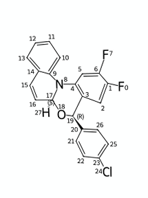 Fc1cc2c(cc1F)N1c3ccccc3C=C[C@@H]1O[C@@H]2c1ccc(Cl)cc1